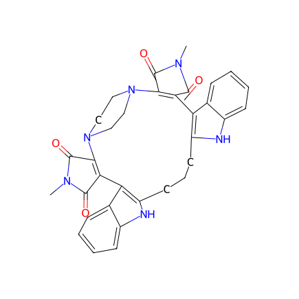 CN1C(=O)C2=C(C1=O)N1CCN(CC1)C1=C(C(=O)N(C)C1=O)c1c([nH]c3ccccc13)CCCc1[nH]c3ccccc3c12